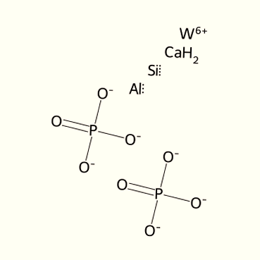 O=P([O-])([O-])[O-].O=P([O-])([O-])[O-].[Al].[CaH2].[Si].[W+6]